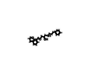 OC(CNCCCc1ccccc1)COSc1cccc2c1OCCC2